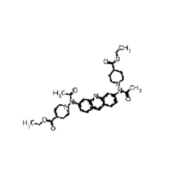 CCOC(=O)C1CCN(N(C(C)=O)c2ccc3cc4ccc(N(C(C)=O)N5CCC(C(=O)OCC)CC5)cc4nc3c2)CC1